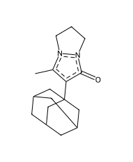 Cc1c(C23CC4CC(CC(C4)C2)C3)c(=O)n2n1CCC2